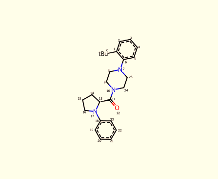 CC(C)(C)c1ccccc1N1CCN(C(=O)[C@@H]2CCCN2c2ccccc2)CC1